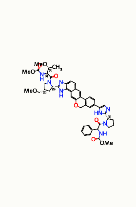 COC[C@H]1C[C@@H](c2nc3ccc4cc5c(cc4c3[nH]2)OCc2cc(-c3cnc([C@@H]4CCCN4C(=O)C(NC(=O)OC)c4ccccc4)[nH]3)ccc2-5)N(C(=O)[C@@H](NC(=O)OC)[C@@H](C)OC)C1